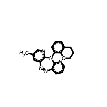 Cc1cnc2c(c1)N=Nc1cccnc1N2c1cccc2c1OCCC2